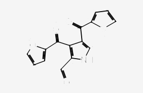 O=[C]c1[nH]cc(C(=O)c2cccs2)c1C(=O)c1ccco1